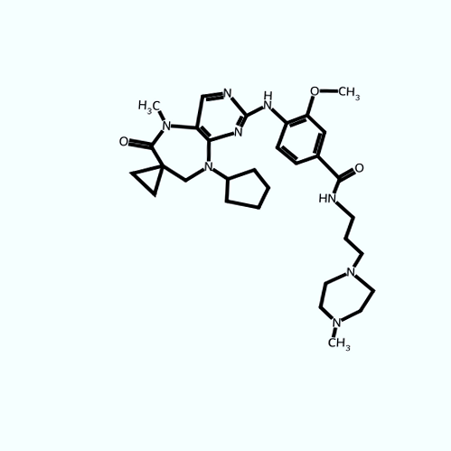 COc1cc(C(=O)NCCCN2CCN(C)CC2)ccc1Nc1ncc2c(n1)N(C1CCCC1)CC1(CC1)C(=O)N2C